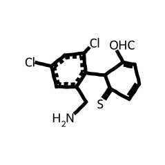 NCc1cc(Cl)cc(Cl)c1C1C(=S)C=CC=C1C=O